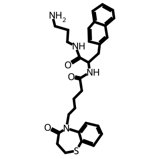 NCCCNC(=O)C(Cc1ccc2ccccc2c1)NC(=O)CCCCN1C(=O)CCSc2ccccc21